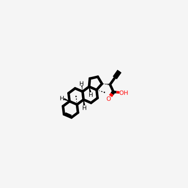 C#CC(C(=O)O)[C@H]1CC[C@H]2[C@@H]3CC[C@H]4CC=CC[C@]4(C)[C@H]3CC[C@]12C